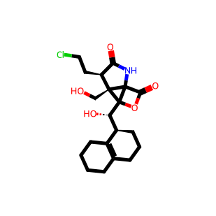 O=C1NC23C(=O)OC2([C@@H](O)[C@H]2CCCC4=C2CCCC4)[C@]3(CO)[C@H]1CCCl